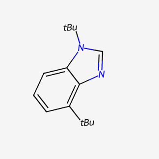 CC(C)(C)c1cccc2c1ncn2C(C)(C)C